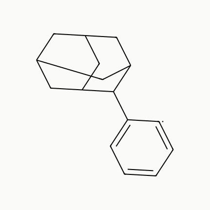 [c]1ccccc1C1C2CC3CC(C2)CC1C3